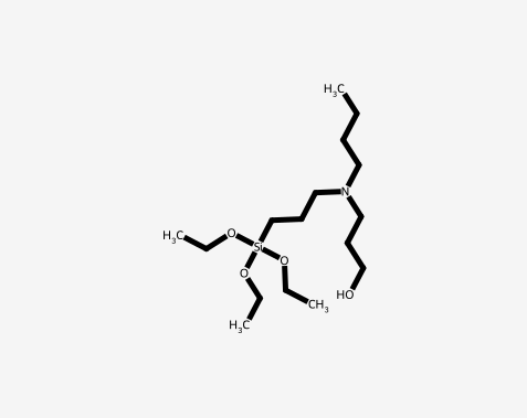 CCCCN(CCCO)CCC[Si](OCC)(OCC)OCC